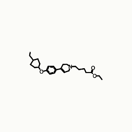 CCOC(=O)CCCCN1CC=C(c2ccc(OC3CCC(CC)CC3)cc2)CC1